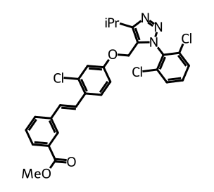 COC(=O)c1cccc(/C=C/c2ccc(OCc3c(C(C)C)nnn3-c3c(Cl)cccc3Cl)cc2Cl)c1